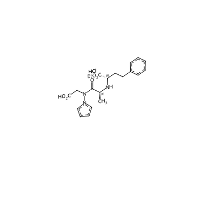 CCOC(=O)[C@H](CCc1ccccc1)N[C@@H](C)C(=O)N(CC(=O)O)n1cccc1.Cl